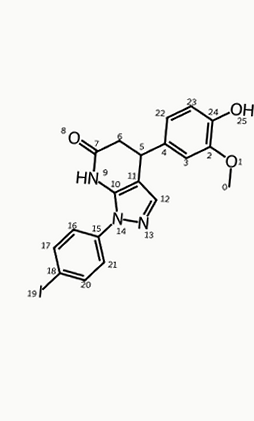 COc1cc(C2CC(=O)Nc3c2cnn3-c2ccc(I)cc2)ccc1O